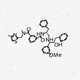 COc1cccc([C@@H](NC[C@H](Cc2ccccc2)NC(=O)c2cccc(C(=O)N(C)Cc3nc(C)cs3)c2)[C@H](O)Cc2ccccc2)c1